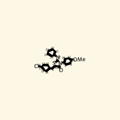 COc1ccc(N2C(=O)C(=Cc3ccc(Cl)cc3)SC2=Nc2ccccc2)cc1